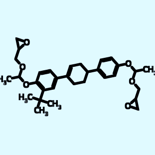 CC(OCC1CO1)Oc1ccc(C2CC=C(c3ccc(OC(C)OCC4CO4)c(C(C)(C)C)c3)CC2)cc1